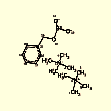 C[N+](C)(C)C.C[N+](C)(C)C.[O-]B([O-])OCc1ccccc1